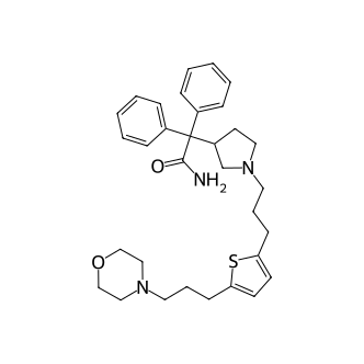 NC(=O)C(c1ccccc1)(c1ccccc1)C1CCN(CCCc2ccc(CCCN3CCOCC3)s2)C1